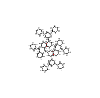 c1ccc(-c2cc(-c3ccc(-c4ccc(-c5cc(-c6ccccc6)nc(-c6ccccc6)n5)cc4N4c5ccccc5N(c5ccccc5)c5ccccc54)c(N4c5ccccc5N(c5ccccc5)c5ccccc54)c3)nc(-c3ccccc3)n2)cc1